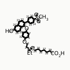 CCN(CCOc1ccc(Oc2c(-c3ccc(S(C)(=O)=O)cc3)ccc3cc(O)ccc23)cc1)OCCCCCCC(=O)O